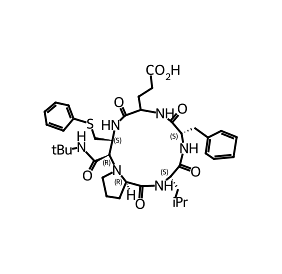 CC(C)C[C@@H]1NC(=O)[C@H]2CCCN2[C@@H](C(=O)NC(C)(C)C)[C@@H](CSc2ccccc2)NC(=O)C(CCC(=O)O)NC(=O)[C@H](Cc2ccccc2)NC1=O